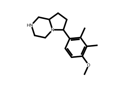 COc1ccc(C2CCC3CNCCN32)c(C)c1C